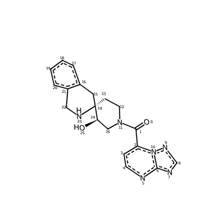 O=C(c1ccnc2ncnn12)N1CC[C@]2(Cc3ccccc3CN2)[C@H](O)C1